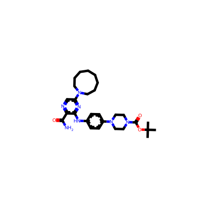 CC(C)(C)OC(=O)N1CCN(c2ccc(Nc3nc(N4CCCCCCCC4)cnc3C(N)=O)cc2)CC1